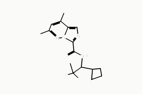 Cc1cc(C)c2cnc(C(=O)NC(C3CCC3)C(F)(F)F)n2n1